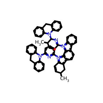 CC1C=Cc2c(c3ccc4c5ccccc5n(C5=NC(N6c7ccccc7Cc7ccccc76)C(C)C=C5)c4c3n2-c2cccc(N3c4ccccc4Cc4ccccc43)n2)C1